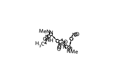 CNc1ncc(C#Cc2ccc(CN3CCOCC3)cc2)c2cc(NC(=O)C3CC3c3cc(C#Cc4cnc(NC)c5cnc(NC(=O)[C@H]6C[C@H]6C)cc45)ccc3CN3CCOCC3)ncc12